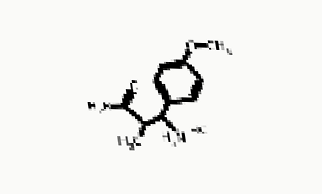 COc1ccc(C(N)C(C)C(N)=O)cc1.Cl